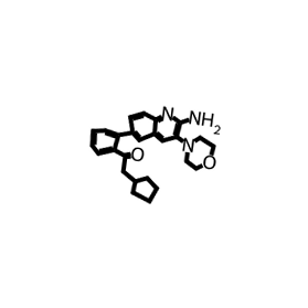 Nc1nc2ccc(-c3ccccc3C(=O)CC3CCCC3)cc2cc1N1CCOCC1